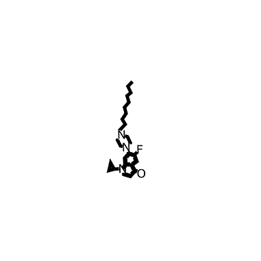 CCCCCCCCCCN1CCN(c2cc3c(cc2F)c(=O)ccn3C2CC2)CC1